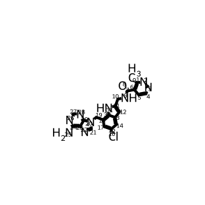 Cc1nnccc1C(=O)NCc1cc2cc(Cl)cc(Cn3cnc4c(N)ncnc43)c2[nH]1